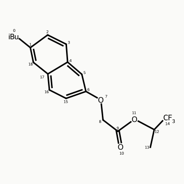 CCC(C)c1ccc2cc(OCC(=O)OC(C)C(F)(F)F)ccc2c1